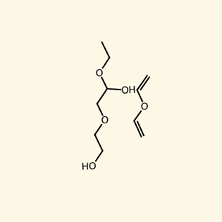 C=COC=C.CCOC(O)COCCO